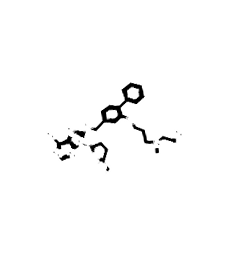 CN(CCCOc1cc(CNc2nc3c(N)ncnc3n2[C@H]2CC[C@@H](CO)O2)ccc1-c1ccccc1)CC(N)=O